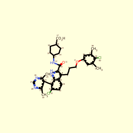 Cc1cc(OCCCc2c(C(=O)NC3CCC(C(=O)O)CC3)[nH]c3c(-c4c(C)ncnc4C)c(Cl)ccc23)cc(C)c1Cl